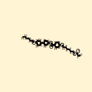 C=CC(=O)OCCCCCCOc1ccc(C(=O)Oc2ccc(-c3ccc(OCCCCCC)cc3)cc2)cc1